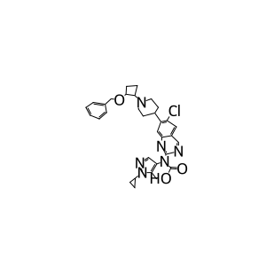 Cc1c(N(C(=O)O)c2ncc3cc(Cl)c(C4CCN(C5CCC5OCc5ccccc5)CC4)cc3n2)cnn1C1CC1